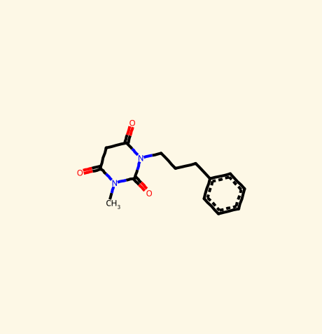 CN1C(=O)CC(=O)N(CCCc2ccccc2)C1=O